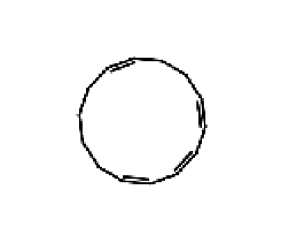 [CH]1CC=CCCC=CC=CC=CCC1